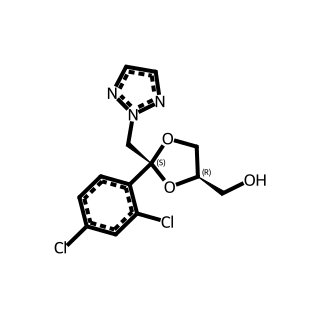 OC[C@@H]1CO[C@@](Cn2nccn2)(c2ccc(Cl)cc2Cl)O1